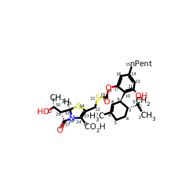 C=C(C)[C@@H]1CCC(C)=C[C@H]1c1c(O)cc(CCCCC)cc1OC(=O)SCC1=C(C(=O)O)N2C(=O)[C@H]([C@@H](C)O)[C@H]2S1